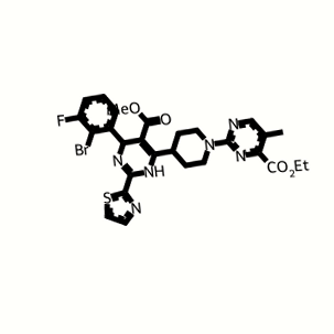 CCOC(=O)c1nc(N2CCC(C3=C(C(=O)OC)C(c4cccc(F)c4Br)N=C(c4nccs4)N3)CC2)ncc1C